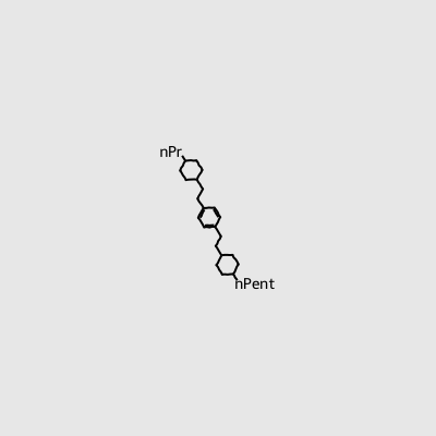 CCCCCC1CCC(CCc2ccc(CCC3CCC(CCC)CC3)cc2)CC1